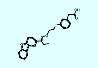 CC/C(=N\OCCOc1cccc(CC(=O)O)c1)c1ccc2oc3ccccc3c2c1